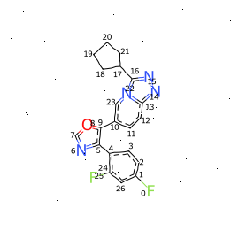 Fc1ccc(-c2ncoc2-c2ccc3nnc(C4CCCC4)n3c2)c(F)c1